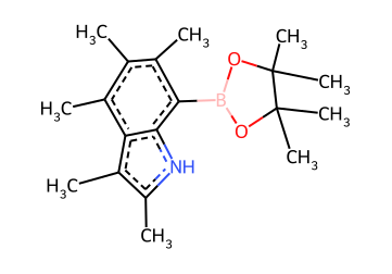 Cc1[nH]c2c(B3OC(C)(C)C(C)(C)O3)c(C)c(C)c(C)c2c1C